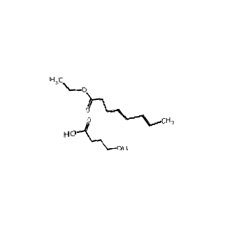 CCCCCCCC(=O)OCC.O=C(O)CCCO